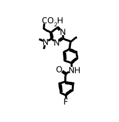 CC(c1ccc(NC(=O)c2ccc(F)cc2)cc1)c1ncc(CC(=O)O)c(N(C)C)n1